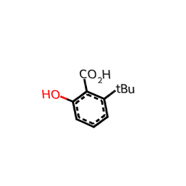 CC(C)(C)c1cccc(O)c1C(=O)O